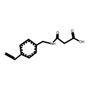 C=Cc1ccc(CNC(=O)CC(=O)O)cc1